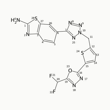 Nc1nc2ccc(-c3nnn(Cc4ccc(-c5nnc(C(F)F)o5)s4)n3)cc2s1